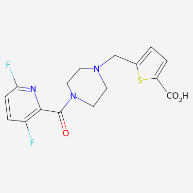 O=C(O)c1ccc(CN2CCN(C(=O)c3nc(F)ccc3F)CC2)s1